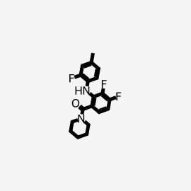 Cc1ccc(Nc2c(C(=O)N3CCCCC3)ccc(F)c2F)c(F)c1